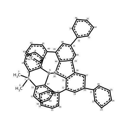 CS1(C)c2ccccc2B(n2c3c(-c4ccccc4)cc(-c4ccccc4)cc3c3cc(-c4ccccc4)cc(-c4ccccc4)c32)c2ccccc21